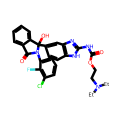 CCN(CC)CCOC(=O)Nc1nc2cc(C3(O)c4ccccc4C(=O)N3c3cccc(Cl)c3F)ccc2[nH]1